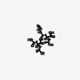 Cl.O=C(O)CC(O)(CC(=O)O)C(=O)O.O=C(O)CC(O)(CC(=O)O)C(=O)O.[Zn].[Zn].[Zn]